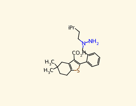 CC(C)CCN(N)Cc1ccccc1-c1sc2c(c1C(=O)O)CC(C)(C)CC2